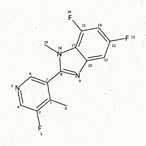 Cc1c(F)cncc1-c1nc2cc(F)cc(F)c2n1C